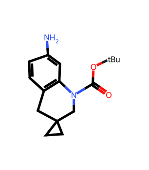 CC(C)(C)OC(=O)N1CC2(CC2)Cc2ccc(N)cc21